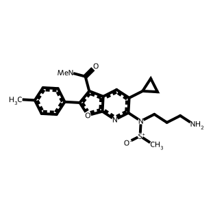 CNC(=O)c1c(-c2ccc(C)cc2)oc2nc(N(CCCN)[S+](C)[O-])c(C3CC3)cc12